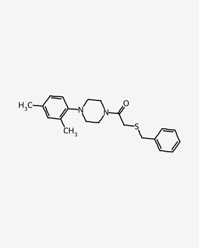 Cc1ccc(N2CCN(C(=O)CSCc3ccccc3)CC2)c(C)c1